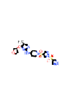 O=S(=O)(c1cnn(S(=O)(=O)c2cn[nH]c2)c1)N1CCC(Nc2ncc(C(F)(F)F)c(OC3CCOC3)n2)CC1